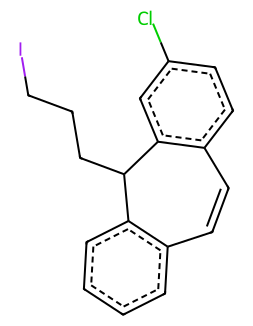 Clc1ccc2c(c1)C(CCCI)c1ccccc1C=C2